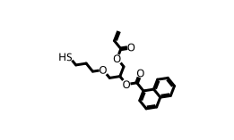 C=CC(=O)OCC(COCCCS)OC(=O)c1cccc2ccccc12